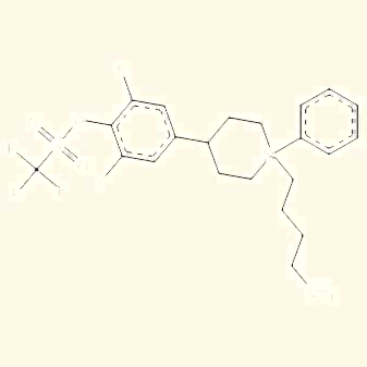 CCCCC[Si]1(c2ccccc2)CCC(c2cc(F)c(OS(=O)(=O)C(F)(F)F)c(F)c2)CC1